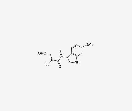 CCC(C)N(CC=O)C(=O)C(=O)C1CNc2cc(OC)ccc21